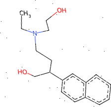 CCN(CCO)CCC(CO)c1ccc2ccccc2c1